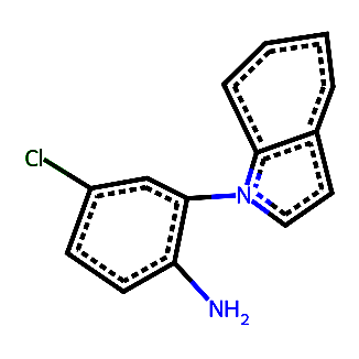 Nc1ccc(Cl)cc1-n1ccc2ccccc21